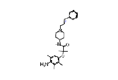 Cc1cc(OC(C)(C)C(=O)NC2CCN(C/C=C/c3ccccc3)CC2)c(C)c(C)c1N